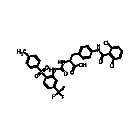 Cc1ccc(S(=O)(=O)c2ccc(C(F)(F)F)cc2NC(=O)NC(Cc2ccc(NC(=O)c3c(Cl)cccc3Cl)cc2)C(=O)O)cc1